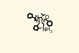 Cc1ccccc1Cn1cc(-c2ccccc2)nc1[C@@H](C(C)C)N(CCCN)C(=O)c1ccccc1